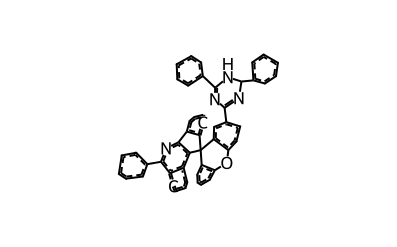 c1ccc(C2=NC(c3ccc4c(c3)C3(c5ccccc5O4)c4ccccc4-c4nc(-c5ccccc5)c5ccccc5c43)=NC(c3ccccc3)N2)cc1